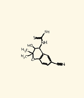 CC1(C)Oc2ccc(C#N)cc2C(NC(=S)S)C1O